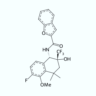 COc1c(F)ccc2c1C(C)(C)C[C@](O)(C(F)(F)F)[C@H]2NC(=O)c1cc2ccccc2o1